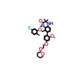 COc1cc(OCCOC2CCCCO2)ccc1-c1ccc2c(c1COc1cc(F)ccc1C)N(C)C(=O)C(C)(C)N2